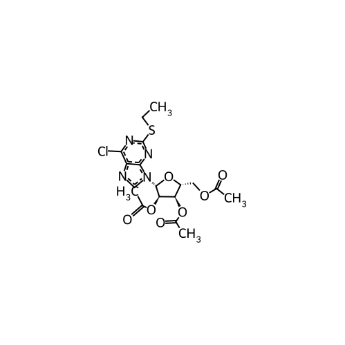 CCSc1nc(Cl)c2ncn([C@@H]3O[C@H](COC(C)=O)[C@@H](OC(C)=O)[C@H]3OC(C)=O)c2n1